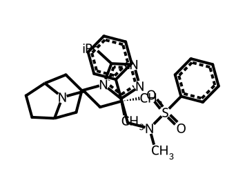 Cc1nnc(C(C)C)n1C1CC2CCC(C1)N2CC[C@](C)(CN(C)S(=O)(=O)c1ccccc1)c1ccccc1